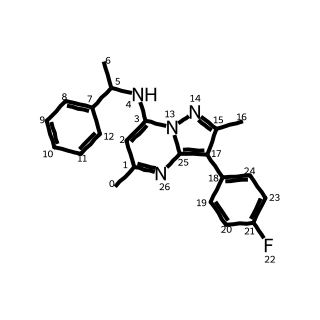 Cc1cc(NC(C)c2ccccc2)n2nc(C)c(-c3ccc(F)cc3)c2n1